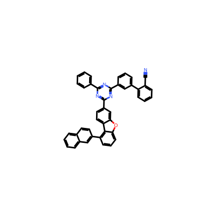 N#Cc1ccccc1-c1cccc(-c2nc(-c3ccccc3)nc(-c3ccc4c(c3)oc3cccc(-c5ccc6ccccc6c5)c34)n2)c1